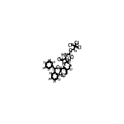 O=C(NC1C(=O)N2C(C(=O)OC(c3ccccc3)c3ccccc3)=C(CO)CS[C@@H]12)OCC(Cl)(Cl)Cl